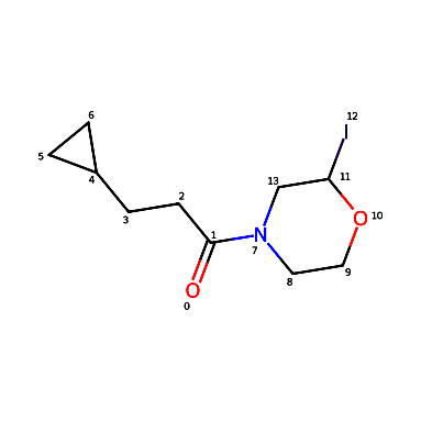 O=C(CCC1CC1)N1CCOC(I)C1